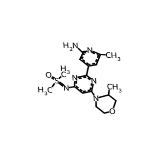 Cc1cc(-c2nc(N=S(C)(C)=O)cc(N3CCOCC3C)n2)cc(N)n1